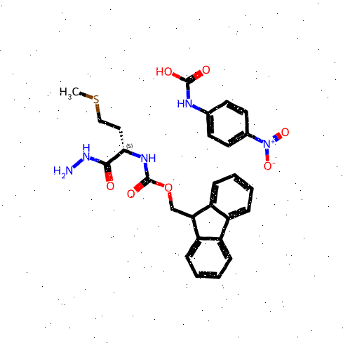 CSCC[C@H](NC(=O)OCC1c2ccccc2-c2ccccc21)C(=O)NN.O=C(O)Nc1ccc([N+](=O)[O-])cc1